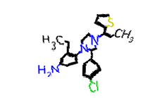 CC=C(c1cccs1)N1CCN(c2ccc(N)cc2CC)C(c2ccc(Cl)cc2)C1